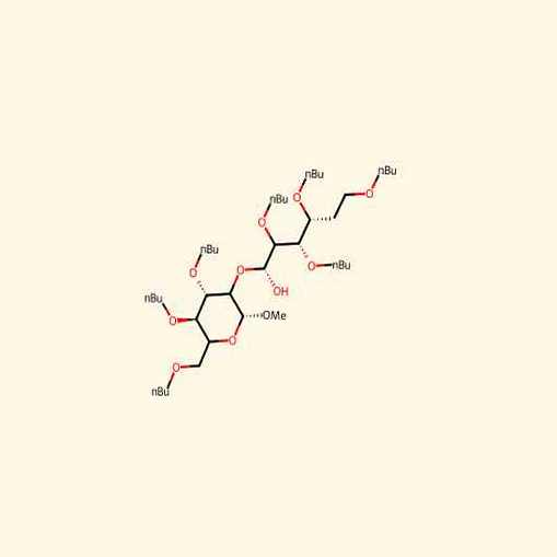 CCCCOCC[C@@H](OCCCC)[C@H](OCCCC)C(OCCCC)[C@H](O)OC1[C@H](OC)OC(COCCCC)[C@@H](OCCCC)[C@@H]1OCCCC